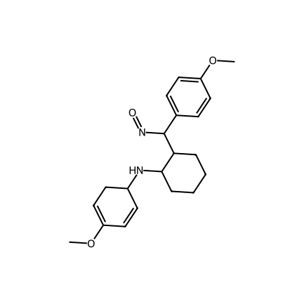 COC1=CCC(NC2CCCCC2C(N=O)c2ccc(OC)cc2)C=C1